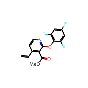 C=Cc1ccnc(Oc2c(F)cc(F)cc2F)c1C(=O)OC